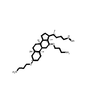 CCCNCCC[C@@H](C)C1CCC2[C@@H]3CC[C@@H]4C[C@H](OCCCN)CC[C@]4(C)C3C[C@H](OCCCN)[C@@]21C